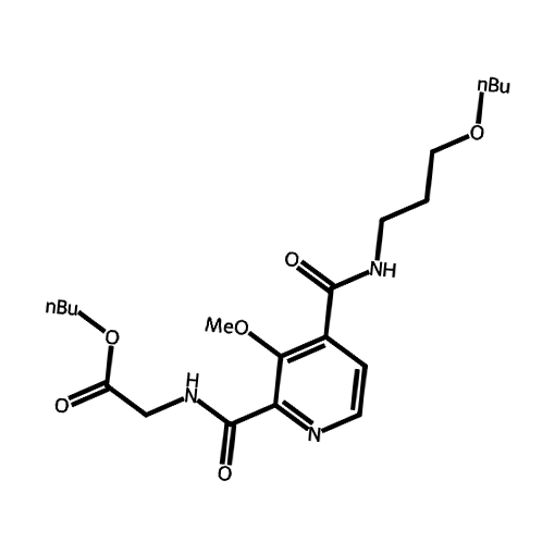 CCCCOCCCNC(=O)c1ccnc(C(=O)NCC(=O)OCCCC)c1OC